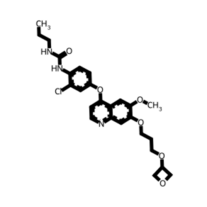 CCCNC(=O)Nc1ccc(Oc2ccnc3cc(OCCCOC4COC4)c(OC)cc23)cc1Cl